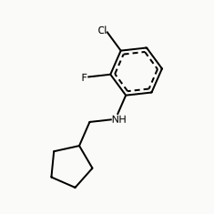 Fc1c(Cl)cccc1NCC1CCCC1